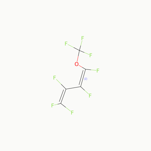 FC(F)=C(F)/C(F)=C(/F)OC(F)(F)F